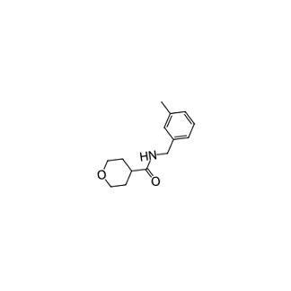 Cc1cccc(CNC(=O)C2CCOCC2)c1